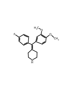 COc1ccc(C(=C2CCNCC2)c2ccc(F)cc2)cc1OC